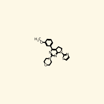 COc1cccc(-c2nc(N3CCOCC3)nc3c2CCN3c2nccs2)c1